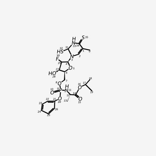 CC1=CN([C@H]2O[C@@H](COP(=O)(N[C@@H](C)C(=O)OC(C)C)Oc3ccccc3)[C@@H](O)C2F)C(S)NC1=S